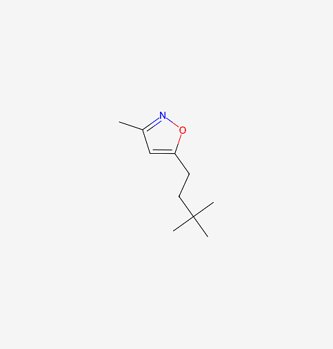 Cc1cc(CCC(C)(C)C)on1